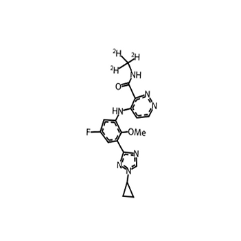 [2H]C([2H])([2H])NC(=O)c1nnccc1Nc1cc(F)cc(-c2ncn(C3CC3)n2)c1OC